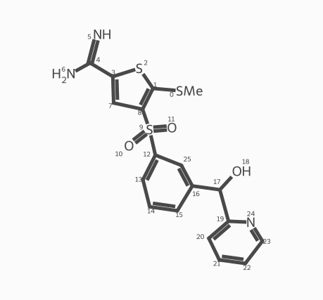 CSc1sc(C(=N)N)cc1S(=O)(=O)c1cccc(C(O)c2ccccn2)c1